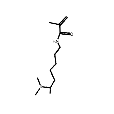 C=C(C)C(=O)NCCCCCC(C)N(C)C